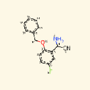 N#CC(N)c1cc(F)ccc1OCc1ccccc1